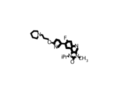 CC(C)n1c(=O)n(C)c2cnc3cc(F)c(-c4ccc(OCCCN5CCCCC5)nc4)cc3c21